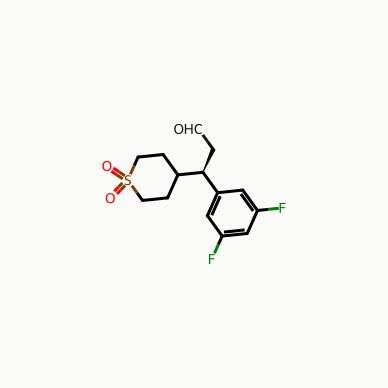 O=CC[C@@H](c1cc(F)cc(F)c1)C1CCS(=O)(=O)CC1